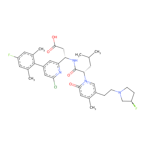 Cc1cc(=O)n([C@@H](CC(C)C)C(=O)N[C@@H](CC(=O)O)c2cc(-c3c(C)cc(F)cc3C)cc(Cl)n2)cc1CCN1CC[C@@H](F)C1